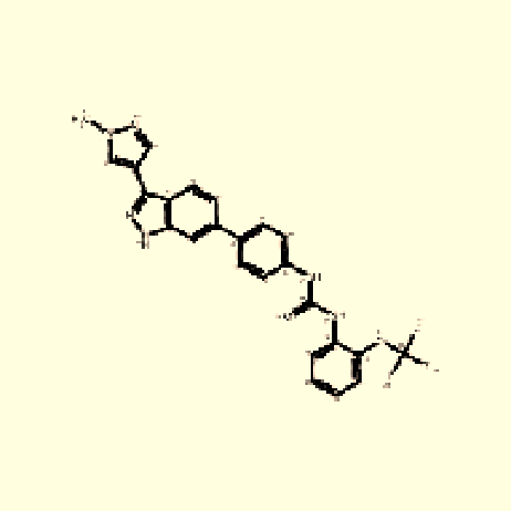 Cn1cc(-c2n[nH]c3cc(-c4ccc(NC(=O)Nc5ccccc5OC(F)(F)F)cc4)ccc23)cn1